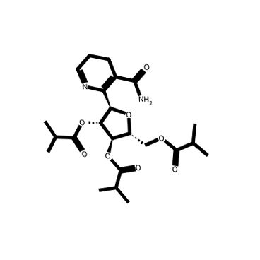 CC(C)C(=O)OC[C@H]1O[C@H](C2=C(C(N)=O)CCC=N2)[C@@H](OC(=O)C(C)C)[C@@H]1OC(=O)C(C)C